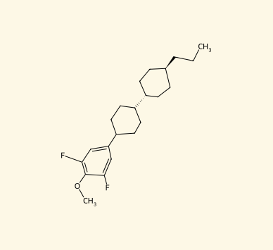 CCC[C@H]1CC[C@H](C2CCC(c3cc(F)c(OC)c(F)c3)CC2)CC1